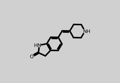 O=C1Cc2ccc(C=C3CCNCC3)cc2N1